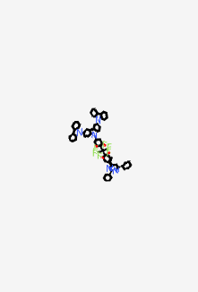 FC(F)(F)C(c1ccc(-c2cc(-c3ccccc3)nc(-c3ccccc3)n2)cc1)(c1ccc(-n2c3ccc(-n4c5ccccc5c5ccccc54)cc3c3cc(-n4c5ccccc5c5ccccc54)ccc32)cc1)C(F)(F)F